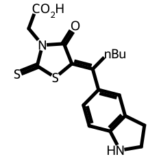 CCCCC(=C1SC(=S)N(CC(=O)O)C1=O)c1ccc2c(c1)CCN2